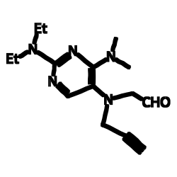 C#CCN(CC=O)c1cnc(N(CC)CC)nc1N(C)C